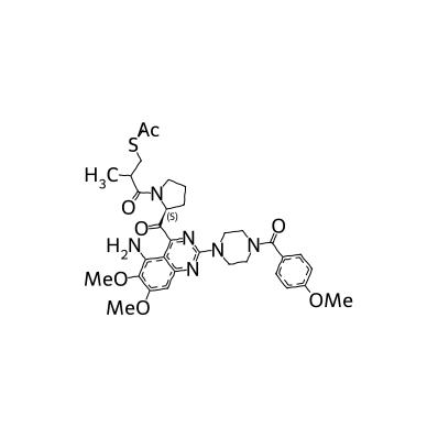 COc1ccc(C(=O)N2CCN(c3nc(C(=O)[C@@H]4CCCN4C(=O)C(C)CSC(C)=O)c4c(N)c(OC)c(OC)cc4n3)CC2)cc1